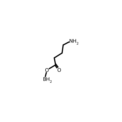 BOC(=O)CCCN